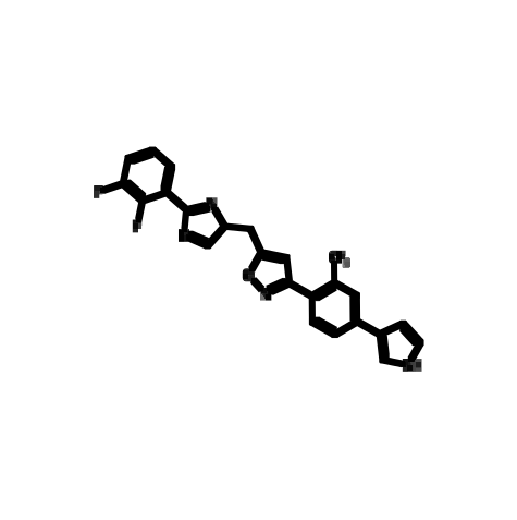 Fc1cccc(C2=NC(Cc3cc(-c4ccc(-c5cc[nH]c5)cc4C(F)(F)F)no3)C=N2)c1F